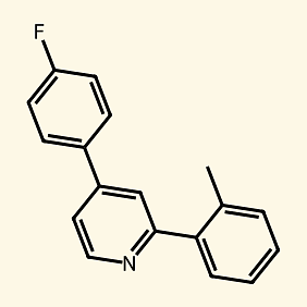 Cc1ccccc1-c1cc(-c2ccc(F)cc2)ccn1